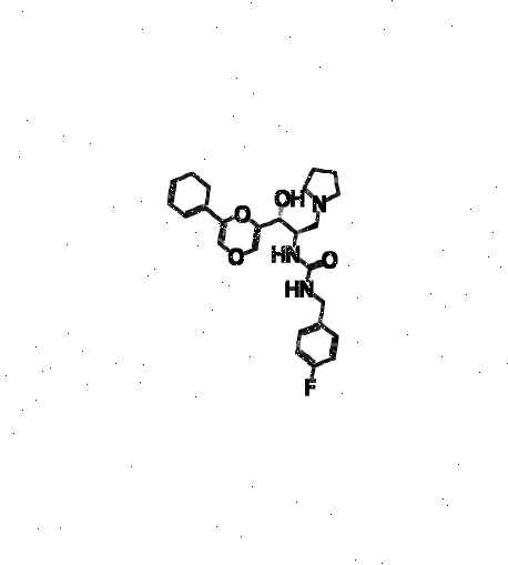 O=C(NCc1ccc(F)cc1)N[C@H](CN1CCCC1)[C@@H](O)C1=COC=C(C2=CC=CCC2)O1